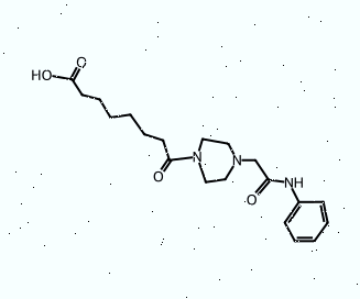 O=C(O)CCCCCCC(=O)N1CCN(CC(=O)Nc2ccccc2)CC1